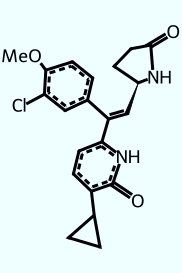 COc1ccc(/C(=C\[C@H]2CCC(=O)N2)c2ccc(C3CC3)c(=O)[nH]2)cc1Cl